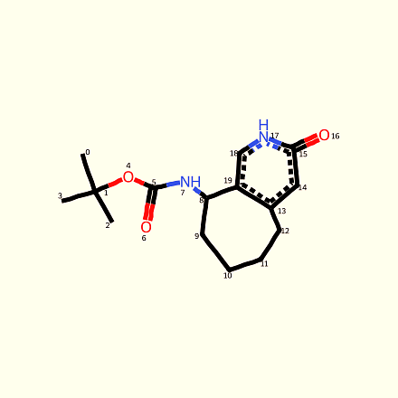 CC(C)(C)OC(=O)NC1CCCCc2cc(=O)[nH]cc21